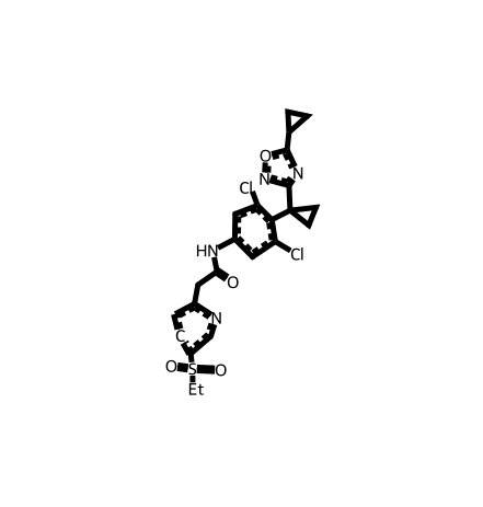 CCS(=O)(=O)c1ccc(CC(=O)Nc2cc(Cl)c(C3(c4noc(C5CC5)n4)CC3)c(Cl)c2)nc1